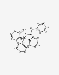 O=C1CC=CC=C1[PH](CCCc1ccccc1)(c1ccccc1)c1ccccc1